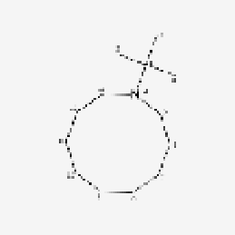 CC(C)(C)N1CCCCCCCCC1